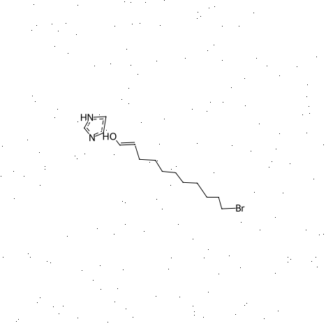 OC=CCCCCCCCCCBr.c1c[nH]cn1